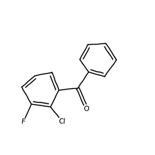 O=C(c1ccccc1)c1cccc(F)c1Cl